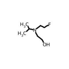 CC(C)N(CCO)CCF